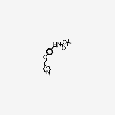 CN1CCN(CCOc2ccc(CCNC(=O)OC(C)(C)C)cc2)CC1